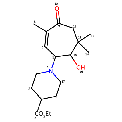 CCOC(=O)C1CCN(C2C=C(C)C(=O)CC(C)(C)C2O)CC1